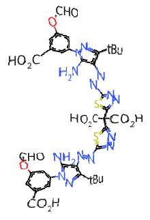 CC(C)(C)c1nn(-c2cc(OC=O)cc(C(=O)O)c2)c(N)c1N=Nc1nnc(C(C(=O)O)(C(=O)O)c2nnc(N=Nc3c(C(C)(C)C)nn(-c4cc(OC=O)cc(C(=O)O)c4)c3N)s2)s1